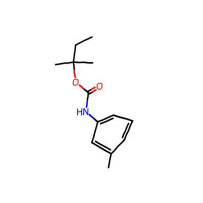 CCC(C)(C)OC(=O)Nc1cccc(C)c1